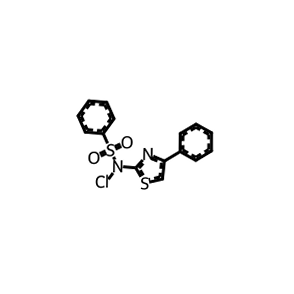 O=S(=O)(c1ccccc1)N(Cl)c1nc(-c2ccccc2)cs1